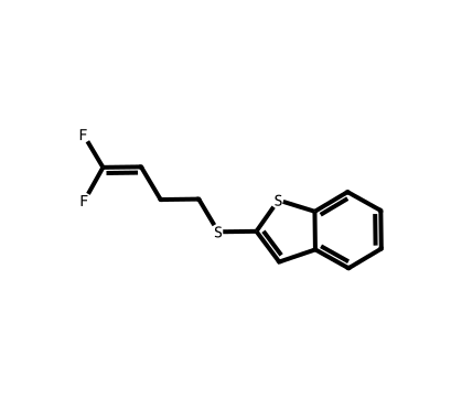 FC(F)=CCCSc1cc2ccccc2s1